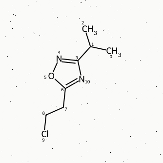 CC(C)c1noc(CCCl)n1